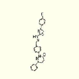 O=c1ccc(-c2ccccc2)nn1-c1ccc(C=NNc2nc(-c3ccc(F)cc3)cs2)cc1